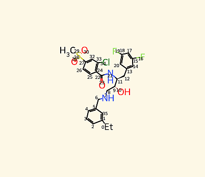 CCc1cccc(CNC[C@@H](O)[C@H](Cc2cc(F)cc(F)c2)NC(=O)c2ccc(S(C)(=O)=O)cc2Cl)c1